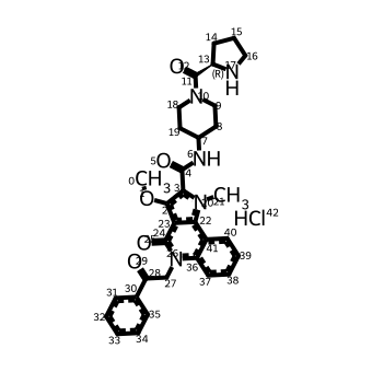 COc1c(C(=O)NC2CCN(C(=O)[C@H]3CCCN3)CC2)n(C)c2c1c(=O)n(CC(=O)c1ccccc1)c1ccccc21.Cl